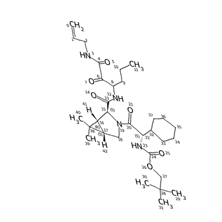 C=CCNC(=O)C(=O)C(CCC)NC(=O)[C@@H]1[C@@H]2[C@H](CN1C(=O)[C@@H](NC(=O)OCC(C)(C)C)C1CCCCC1)C2(C)C